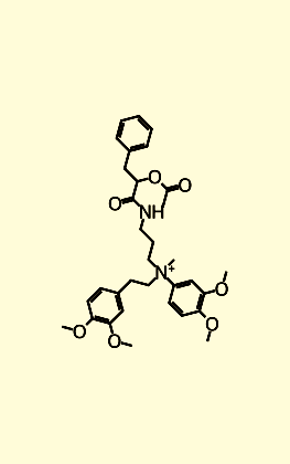 COc1ccc(CC[N+](C)(CCCNC(=O)C(Cc2ccccc2)OC(C)=O)c2ccc(OC)c(OC)c2)cc1OC